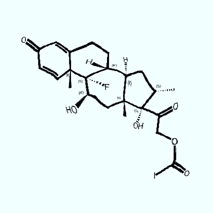 C[C@H]1C[C@@H]2[C@H]3CCC4=CC(=O)C=C[C@@]4(C)[C@]3(F)[C@H](O)C[C@@]2(C)[C@]1(O)C(=O)COC(=O)I